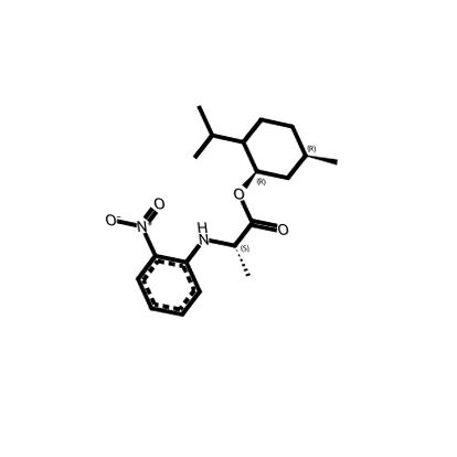 CC(C)C1CC[C@@H](C)C[C@H]1OC(=O)[C@H](C)Nc1ccccc1[N+](=O)[O-]